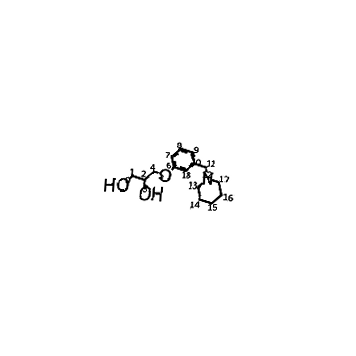 OCC(O)COc1cccc(CN2CCCCC2)c1